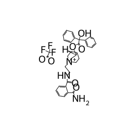 NC(=O)c1ccccc1C(=O)NCC[N+]12CCC(CC1)[C@@H](OC(=O)C(O)(c1ccccc1)c1ccccc1)C2.O=C([O-])C(F)(F)F